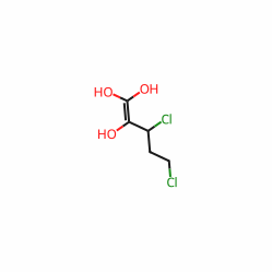 OC(O)=C(O)C(Cl)CCCl